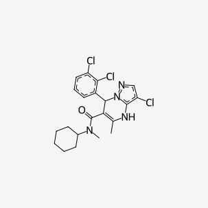 CC1=C(C(=O)N(C)C2CCCCC2)C(c2cccc(Cl)c2Cl)n2ncc(Cl)c2N1